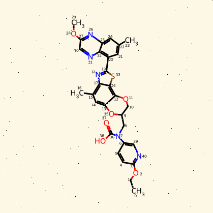 CCOc1ccc(N(CC2COc3c(cc(C)c4nc(-c5cc(C)cc6nc(OC)cnc56)sc34)O2)C(=O)O)cn1